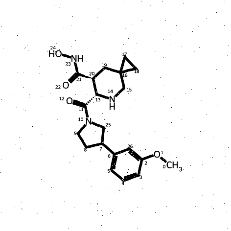 COc1cccc(C2CCN(C(=O)[C@H]3NCC4(CC4)C[C@@H]3C(=O)NO)C2)c1